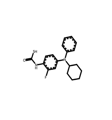 O=C(S)Nc1ccc(N(c2ccccc2)C2CCCCC2)cc1F